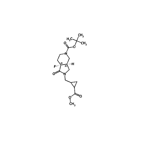 COC(=O)C1CC1CN1C[C@@H]2CN(C(=O)OC(C)(C)C)CC[C@]2(F)C1=O